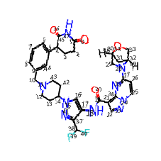 O=C1CCC(c2cccc(CN3CCC(n4cc(NC(=O)c5cnn6ccc(N7C[C@H]8C[C@@H]7CO8)nc56)c(C(F)F)n4)CC3)c2)C(=O)N1